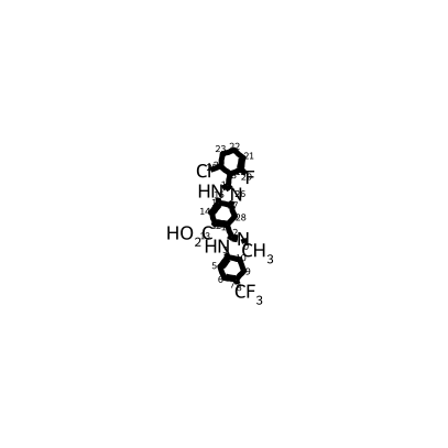 C/N=C(\NC1=CC=C(C(F)(F)F)CC1)C1=C(C(=O)O)C=C2NC(C3C(F)=CCCC3Cl)=NC2C1